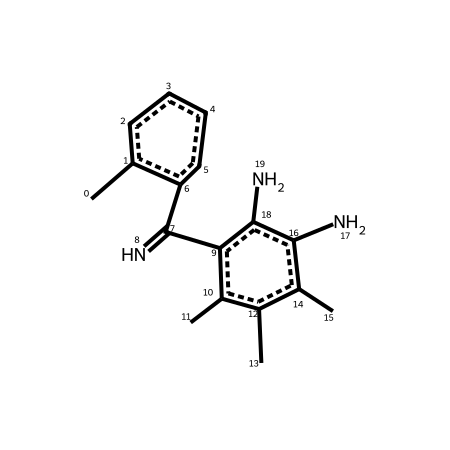 Cc1ccccc1C(=N)c1c(C)c(C)c(C)c(N)c1N